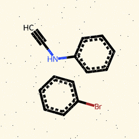 Brc1ccccc1.C#CNc1ccccc1